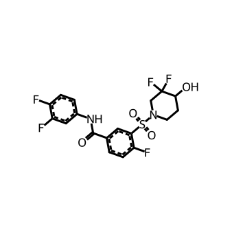 O=C(Nc1ccc(F)c(F)c1)c1ccc(F)c(S(=O)(=O)N2CCC(O)C(F)(F)C2)c1